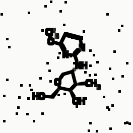 C[C@H]1[C@@H](O)[C@@H](CO)OC[C@@H]1Nc1nccc(OC(F)(F)F)n1